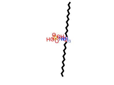 CCCCCCCCCCCCCOCCCCCCCCCCCCC.N.N.O=S(=O)(O)O